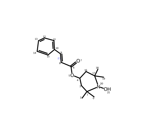 CC1(C)CC(OC(=O)/C=C/c2ccccc2)CC(C)(C)N1O